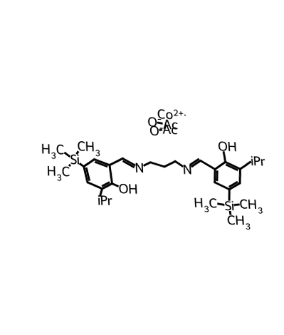 CC(=O)[O-].CC(=O)[O-].CC(C)c1cc([Si](C)(C)C)cc(C=NCCCN=Cc2cc([Si](C)(C)C)cc(C(C)C)c2O)c1O.[Co+2]